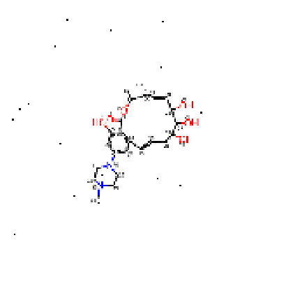 CC1OC(=O)c2c(O)cc(N3CCN(C)CC3)cc2/C=C/CC(O)C(O)C(O)/C=C\[C@H]1C